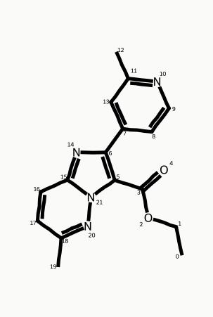 CCOC(=O)c1c(-c2ccnc(C)c2)nc2ccc(C)nn12